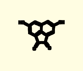 O=C1C(=O)c2cc(O)cc3cc(O)cc1c23